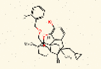 CO[C@]12CC[C@@]3(C[C@@H]1COCc1ccccc1C)[C@H]1Cc4ccc(O)c5c4[C@@]3(CCC1(C)CC1CC1)[C@H]2O5